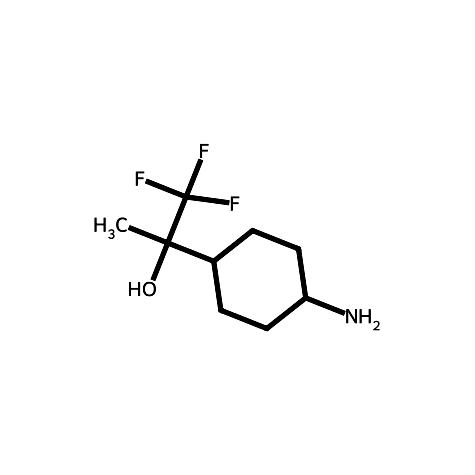 CC(O)(C1CCC(N)CC1)C(F)(F)F